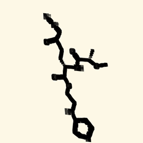 CO[C@@H](C)C(=O)N[C@@H](CCC(=O)C=[N+]=[N-])C(=O)OCCNc1ccncc1